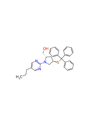 CCCc1cnc(N2C[C@H](SC(c3ccccc3)(c3ccccc3)c3ccccc3)C[C@H]2CO)nc1